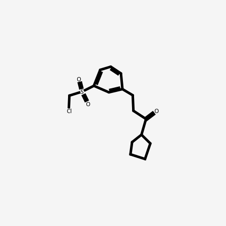 O=C(CCc1cccc(S(=O)(=O)CCl)c1)C1CCCC1